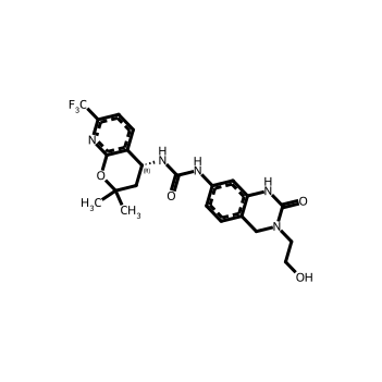 CC1(C)C[C@@H](NC(=O)Nc2ccc3c(c2)NC(=O)N(CCO)C3)c2ccc(C(F)(F)F)nc2O1